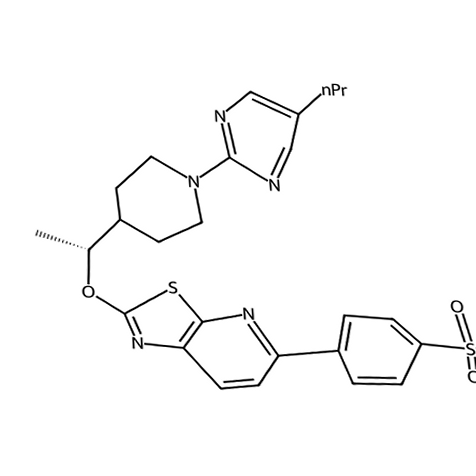 CCCc1cnc(N2CCC([C@@H](C)Oc3nc4ccc(-c5ccc(S(C)(=O)=O)cc5)nc4s3)CC2)nc1